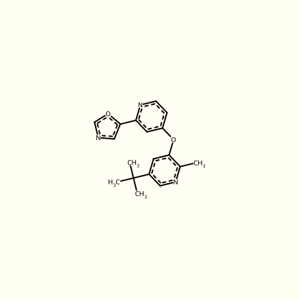 Cc1n[c]c(C(C)(C)C)cc1Oc1ccnc(-c2cnco2)c1